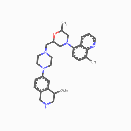 COC1CNCc2ccc(N3CCN(CC4CN(c5ccc(C#N)c6ncccc56)CC(C)O4)CC3)cc21